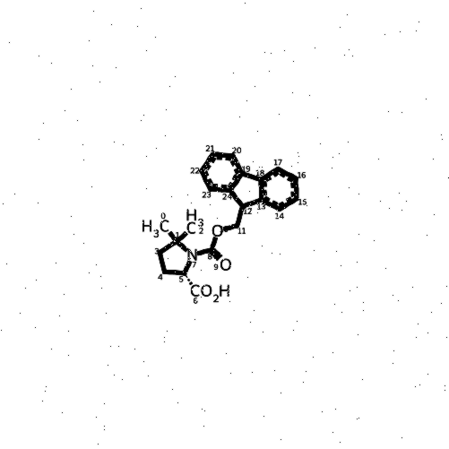 CC1(C)CC[C@@H](C(=O)O)N1C(=O)OCC1c2ccccc2-c2ccccc21